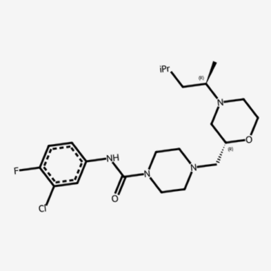 CC(C)C[C@@H](C)N1CCO[C@H](CN2CCN(C(=O)Nc3ccc(F)c(Cl)c3)CC2)C1